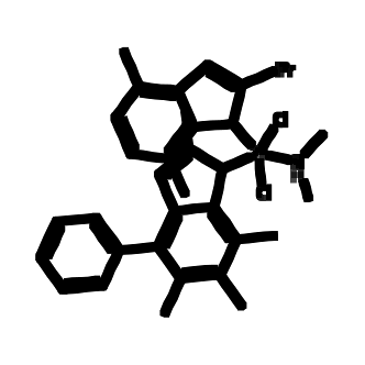 CC1=Cc2c(-c3ccccc3)c(C)c(C)c(C)c2[CH]1[Zr]([Cl])([Cl])([CH]1C(C(C)C)=Cc2c(C)ccc(C)c21)[SiH](C)C